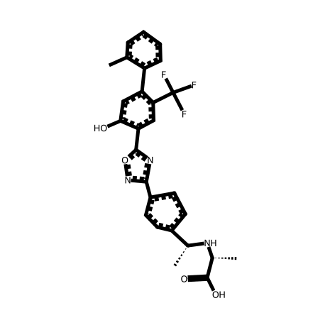 Cc1ccccc1-c1cc(O)c(-c2nc(-c3ccc([C@@H](C)N[C@H](C)C(=O)O)cc3)no2)cc1C(F)(F)F